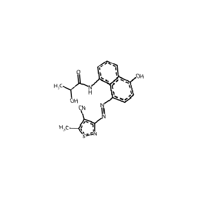 Cc1snc(/N=N/c2ccc(O)c3cccc(NC(=O)C(C)O)c23)c1C#N